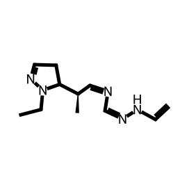 C=CN/N=C\N=C/[C@@H](C)C1CC=NN1CC